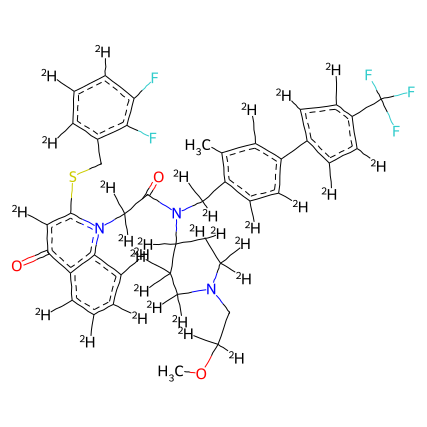 [2H]c1c([2H])c(F)c(F)c(CSc2c([2H])c(=O)c3c([2H])c([2H])c([2H])c([2H])c3n2C([2H])([2H])C(=O)N(C([2H])([2H])c2c([2H])c([2H])c(-c3c([2H])c([2H])c(C(F)(F)F)c([2H])c3[2H])c([2H])c2C)C2([2H])C([2H])([2H])C([2H])([2H])N(CC([2H])([2H])OC)C([2H])([2H])C2([2H])[2H])c1[2H]